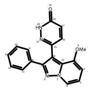 COc1cccn2nc(-c3ccccc3)c(-c3ccc(=O)[nH]n3)c12